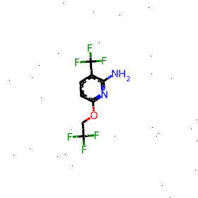 Nc1nc(OCC(F)(F)F)ccc1C(F)(F)F